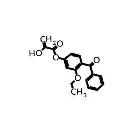 C=C(O)C(=O)Oc1ccc(C(=O)c2ccccc2)c(OCC)c1